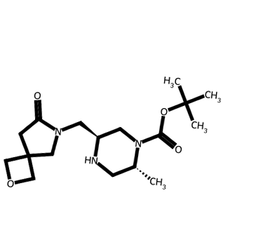 C[C@@H]1CN[C@@H](CN2CC3(COC3)CC2=O)CN1C(=O)OC(C)(C)C